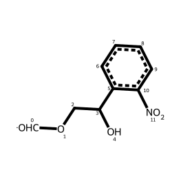 O=[C]OCC(O)c1ccccc1[N+](=O)[O-]